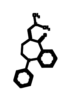 CN(C)C=C1CCN(c2ccccc2)c2ccccc2C1=O